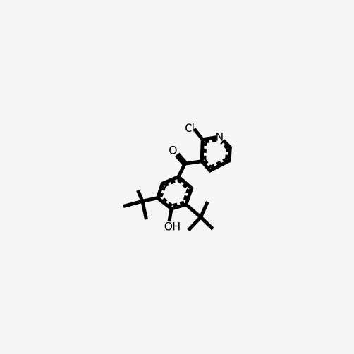 CC(C)(C)c1cc(C(=O)c2cccnc2Cl)cc(C(C)(C)C)c1O